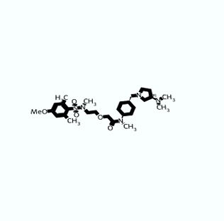 COc1cc(C)c(S(=O)(=O)N(C)CCOCC(=O)N(C)[C@H]2CC[C@@H](CN3CC[C@@H](N(C)C)C3)CC2)c(C)c1